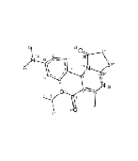 CC1=C(C(=O)OC(C)C)C(c2ccc(N(C)C)cc2)N2C(=O)CSC2=N1